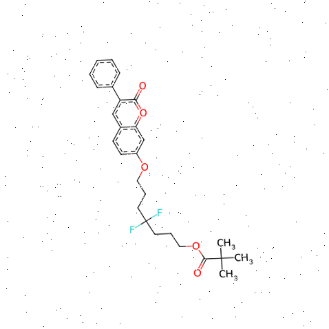 CC(C)(C)C(=O)OCCCC(F)(F)CCCOc1ccc2cc(-c3ccccc3)c(=O)oc2c1